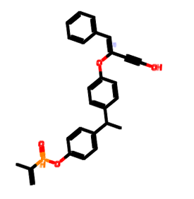 C=C(C)[PH](=O)Oc1ccc(C(C)c2ccc(O/C(C#CO)=C\c3ccccc3)cc2)cc1